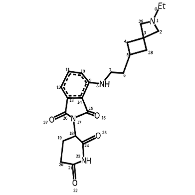 CCN1CC2(CC(CCNc3cccc4c3C(=O)N(C3CCC(=O)NC3=O)C4=O)C2)C1